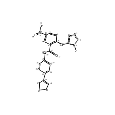 Cn1nnnc1Sc1ccc([N+](=O)[O-])cc1C(=O)Nc1cnc(C2=CCCC2)cn1